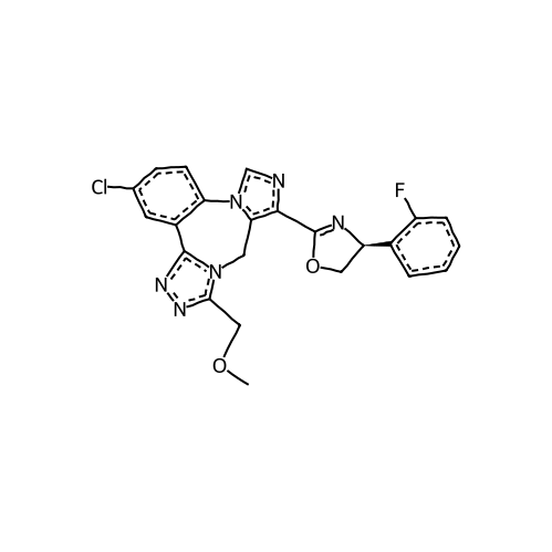 COCc1nnc2n1Cc1c(C3=N[C@@H](c4ccccc4F)CO3)ncn1-c1ccc(Cl)cc1-2